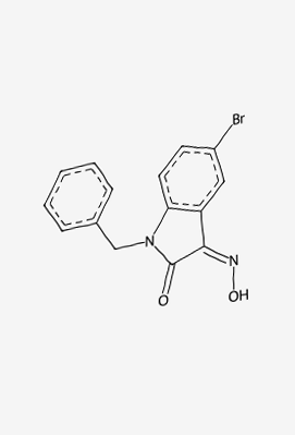 O=C1/C(=N\O)c2cc(Br)ccc2N1Cc1ccccc1